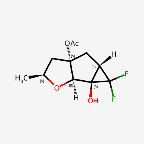 CC(=O)O[C@]12C[C@@H]3C(F)(F)[C@]3(O)[C@H]1O[C@@H](C)C2